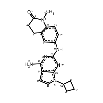 CN1C(=O)CCc2cc(Nc3nc(N)c4ccn(C5CCC5)c4n3)ccc21